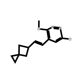 COc1nnc(Cl)cc1C=CC1CC2(CC2)C1